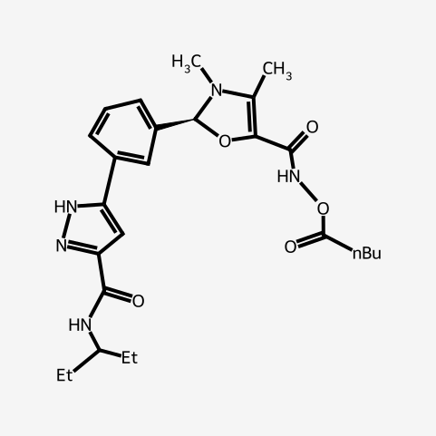 CCCCC(=O)ONC(=O)C1=C(C)N(C)[C@H](c2cccc(-c3cc(C(=O)NC(CC)CC)n[nH]3)c2)O1